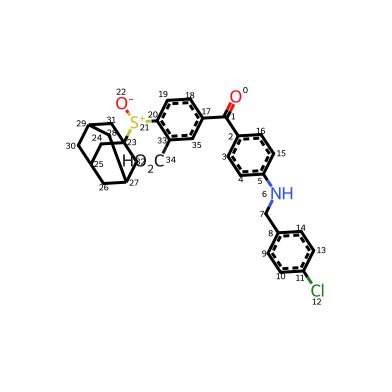 O=C(c1ccc(NCc2ccc(Cl)cc2)cc1)c1ccc([S+]([O-])C23CC4CC(CC(C4)C2)C3)c(C(=O)O)c1